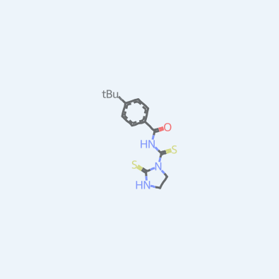 CC(C)(C)c1ccc(C(=O)NC(=S)N2CCNC2=S)cc1